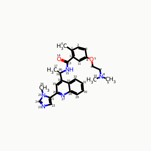 Cc1ccc(OCCN(C)C)cc1C(=O)N[C@H](C)c1cc(-c2cncn2C)nc2ccccc12